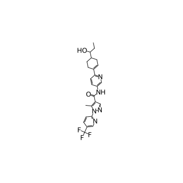 CCC(O)C1CC=C(c2ccc(NC(=O)c3cnn(-c4ccc(C(F)(F)F)cn4)c3C)cn2)CC1